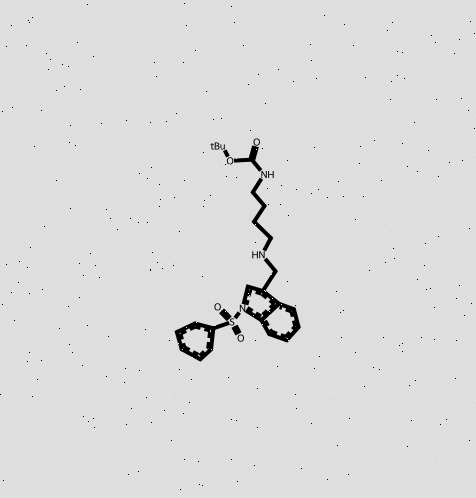 CC(C)(C)OC(=O)NCCCCNCc1cn(S(=O)(=O)c2ccccc2)c2ccccc12